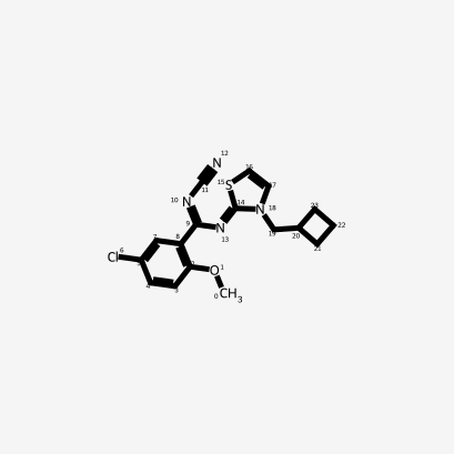 COc1ccc(Cl)cc1C(=N/C#N)/N=c1\sccn1CC1CCC1